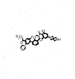 COC(=O)c1cc(F)c(-c2cccc3c2OCN(C(=O)c2c(Cl)cc(N4CC5(CNC5)C4)cc2Cl)C3)cc1N1CCOCC1